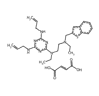 C=CCNc1nc(NCC=C)nc(N(CC)CCN(CC)Cc2cc3ccccc3s2)n1.O=C(O)/C=C/C(=O)O